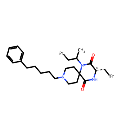 CC(C)CC(C)N1C(=O)[C@H](CC(C)C)NC(=O)C12CCN(CCCCCc1ccccc1)CC2